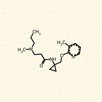 CCCN(C)CCC(=O)NC1(COc2ncccc2C)CC1